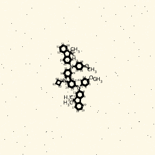 COc1ccc(N(c2ccc3c(c2)C(C)(C)c2ccccc2-3)c2ccc3c(c2)c2cc(N(c4ccc(OC)cc4)c4ccc5c(c4)C(C)(C)c4ccccc4-5)ccc2n3C2CCC2)cc1